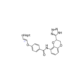 CCCCCCC/C=C/Oc1ccc(C(=O)Nc2cccc3c2OC(c2nnn[nH]2)CO3)cc1